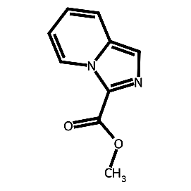 COC(=O)c1ncc2ccccn12